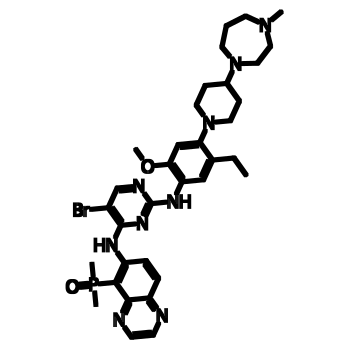 CCc1cc(Nc2ncc(Br)c(Nc3ccc4nccnc4c3P(C)(C)=O)n2)c(OC)cc1N1CCC(N2CCCN(C)CC2)CC1